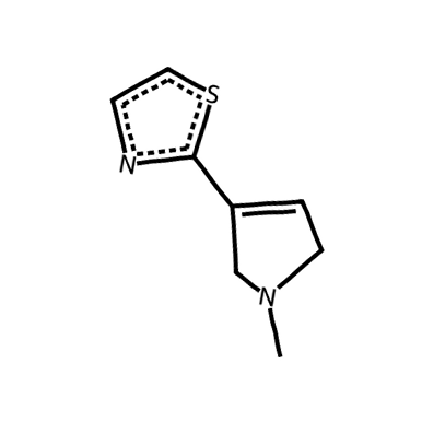 CN1CC=C(c2nccs2)C1